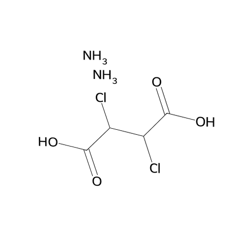 N.N.O=C(O)C(Cl)C(Cl)C(=O)O